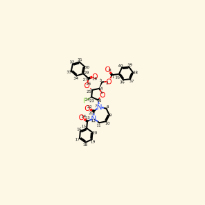 O=C(OC[C@H]1O[C@@H](N2CC=CCN(C(=O)c3ccccc3)C2=O)[C@@H](F)[C@@H]1OC(=O)c1ccccc1)c1ccccc1